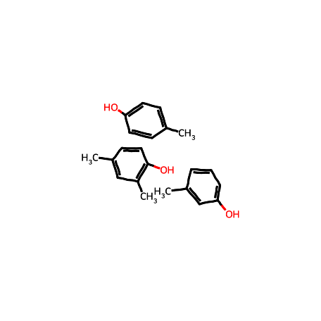 Cc1ccc(O)c(C)c1.Cc1ccc(O)cc1.Cc1cccc(O)c1